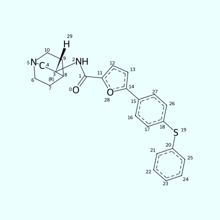 O=C(N[C@H]1CN2CCC1CC2)c1ccc(-c2ccc(Sc3ccccc3)cc2)o1